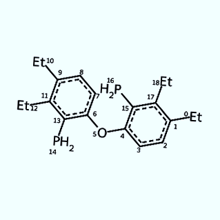 CCc1ccc(Oc2ccc(CC)c(CC)c2P)c(P)c1CC